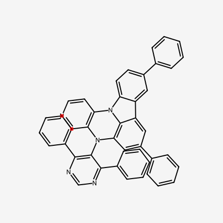 c1ccc(-c2ccc3c(c2)c2cc(-c4ccccc4)cc4c2n3-c2ccncc2N4c2c(-c3ccccc3)ncnc2-c2ccccc2)cc1